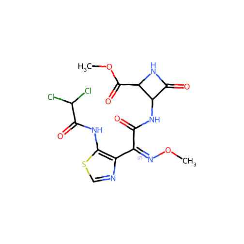 CO/N=C(\C(=O)NC1C(=O)NC1C(=O)OC)c1ncsc1NC(=O)C(Cl)Cl